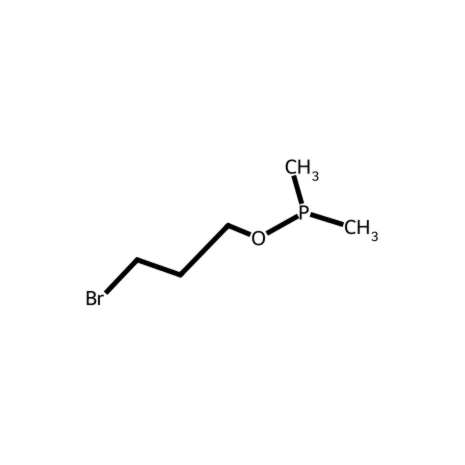 CP(C)OCCCBr